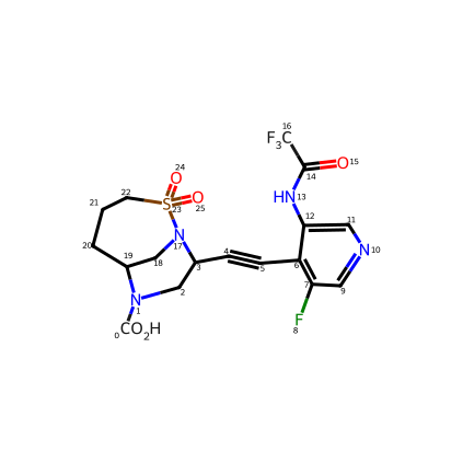 O=C(O)N1CC(C#Cc2c(F)cncc2NC(=O)C(F)(F)F)N2CC1CCCS2(=O)=O